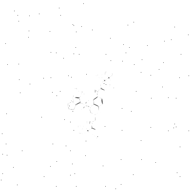 COc1nn2c(c1S(=O)(=O)N1C[C@H](CNC(=O)C(C)(C)O)Oc3ccc(NC(=O)OC(C)(C)C(F)(F)F)cc31)CCC2